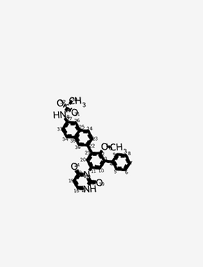 COc1c(-c2ccccc2)cc(-n2c(=O)cc[nH]c2=O)cc1-c1ccc2cc(NS(C)(=O)=O)ccc2c1